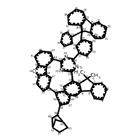 CC1(C)c2ccccc2-c2cccc(-c3nc(-c4cccc(C5(c6ccccc6)c6ccccc6-c6ccccc65)c4)nc(-c4cccc5oc6ccc(-c7cccc(C8CC9CCC8C9)c7)cc6c45)n3)c21